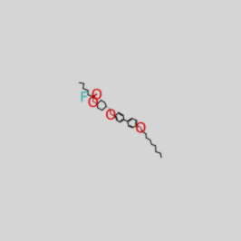 CCCCCCCCCOc1ccc(-c2ccc(OC[C@H]3CC[C@H](OC(=O)[C@@H](F)CCCC)CC3)cc2)cc1